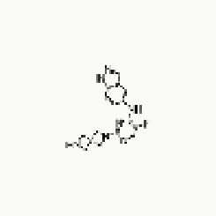 Fc1cnc(N2CC3(CNC3)C2)nc1Nc1ccc2[nH]ncc2c1